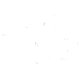 COc1ccnc(CN(c2cccc(C(=O)O)c2)c2ccc(OC(F)F)c(OC(F)F)c2)c1